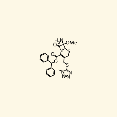 COC1(N)C(=O)N2C(C(=O)OC(c3ccccc3)c3ccccc3)=C(CSc3nnnn3C)CSC21